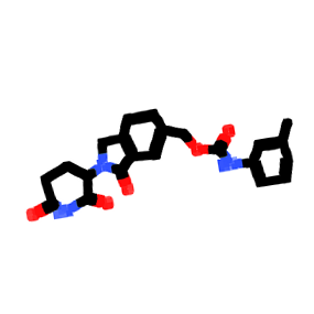 Cc1cccc(NC(=O)OCc2ccc3c(c2)C(=O)N(C2CCC(=O)NC2=O)C3)c1